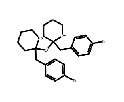 Brc1ccc(C[C]2(O[C]3(Cc4ccc(Br)cc4)CCC[CH2][Po]3)CCC[CH2][Po]2)cc1